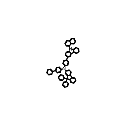 c1ccc(-c2ccc(N(c3ccc(-c4ccc5c(c4)c4ccccc4n5-c4cccc5ccccc45)cc3)c3ccc4c(c3)C(c3ccccc3)(c3ccccc3)c3ccccc3-4)cc2)cc1